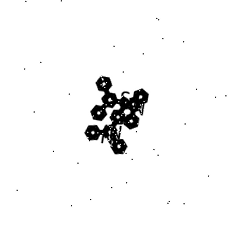 c1ccc(-c2cc(-c3ccccc3)cc(-c3sc4c(c(-c5ccccc5)nc5ccccc54)c3-c3ccc(-c4cc(-c5ccccc5)nc(-c5ccccc5)n4)cc3)c2)cc1